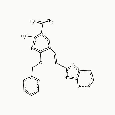 C=C(C)c1cc(C=Cc2nc3ccccc3o2)c(OCc2ccccc2)nc1C